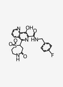 O=C1CC(c2nc(C(=O)NCc3ccc(F)cc3)c(O)c3ncccc23)S(=O)(=O)CCN1